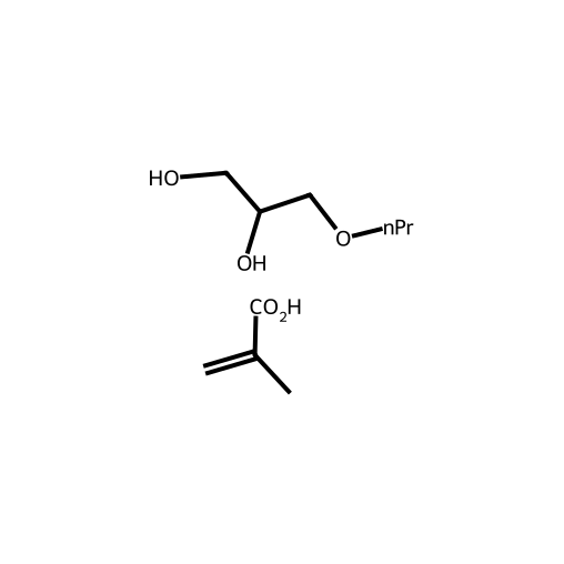 C=C(C)C(=O)O.CCCOCC(O)CO